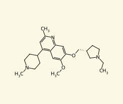 CCN1CC[C@@H](COc2cc3nc(C)cc(C4CCN(C)CC4)c3cc2OC)C1